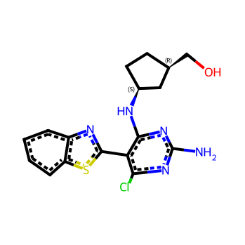 Nc1nc(Cl)c(-c2nc3ccccc3s2)c(N[C@H]2CC[C@@H](CO)C2)n1